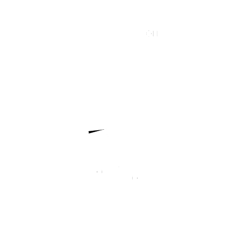 CCOC(=O)C[C@@H](C)c1ccc(CO)cc1